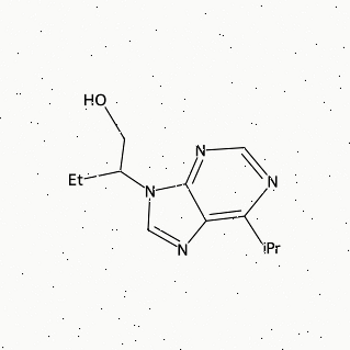 CCC(CO)n1cnc2c(C(C)C)ncnc21